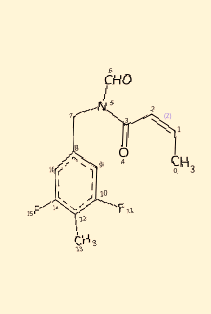 C/C=C\C(=O)N(C=O)Cc1cc(F)c(C)c(F)c1